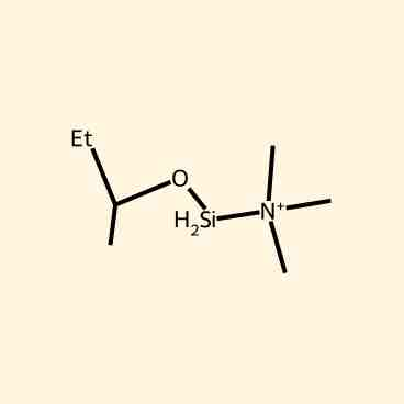 CCC(C)O[SiH2][N+](C)(C)C